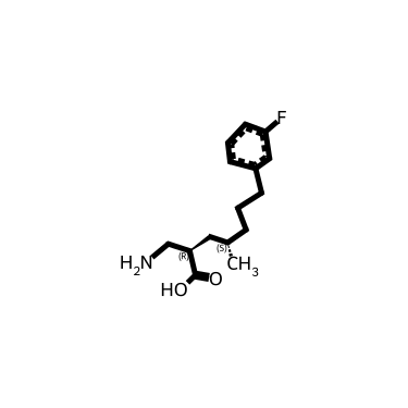 C[C@@H](CCCc1cccc(F)c1)C[C@H](CN)C(=O)O